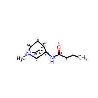 CCCC(=O)NC1C[N+]2(C)CCC1CC2